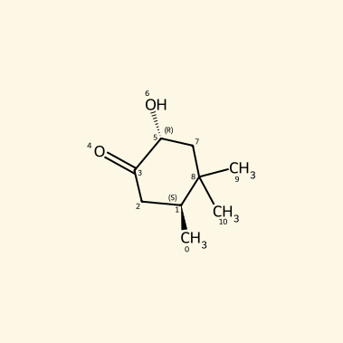 C[C@H]1CC(=O)[C@H](O)CC1(C)C